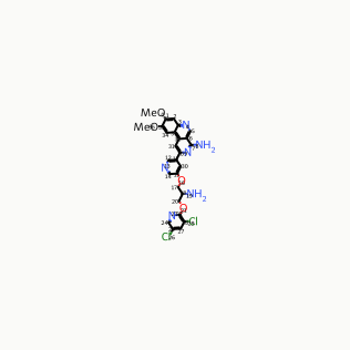 COc1cc2ncc3c(N)nc(-c4cncc(OC[C@@H](N)COc5ncc(Cl)cc5Cl)c4)cc3c2cc1OC